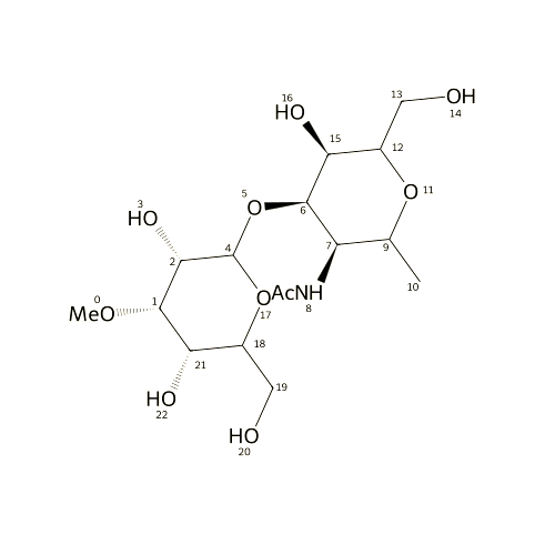 CO[C@@H]1[C@H](O)C(O[C@@H]2[C@H](NC(C)=O)C(C)OC(CO)[C@@H]2O)OC(CO)[C@@H]1O